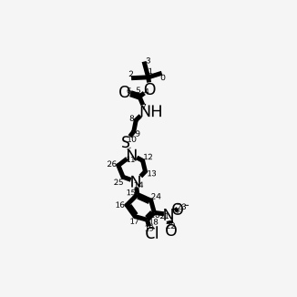 CC(C)(C)OC(=O)NCCSN1CCN(c2ccc(Cl)c([N+](=O)[O-])c2)CC1